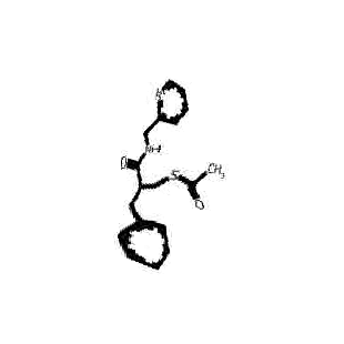 CC(=O)SCC(Cc1ccccc1)C(=O)NCc1ccccn1